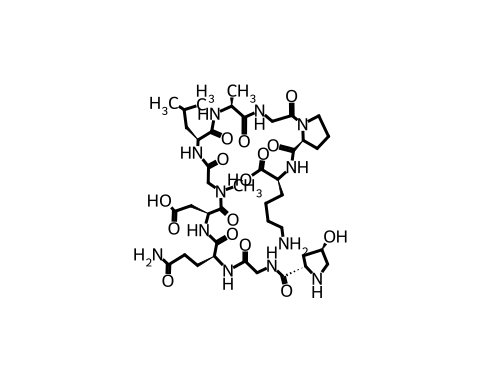 CC(C)C[C@H](NC(=O)CN(C)C(=O)[C@H](CC(=O)O)NC(=O)[C@H](CCC(N)=O)NC(=O)CNC(=O)[C@@H]1C[C@@H](O)CN1)C(=O)N[C@@H](C)C(=O)NCC(=O)N1CCC[C@H]1C(=O)N[C@@H](CCCCN)C(=O)O